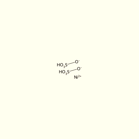 O=S(=O)([O-])O.O=S(=O)([O-])O.[Ni+2]